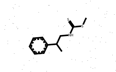 CSC(=S)NCC(C)c1ccccc1